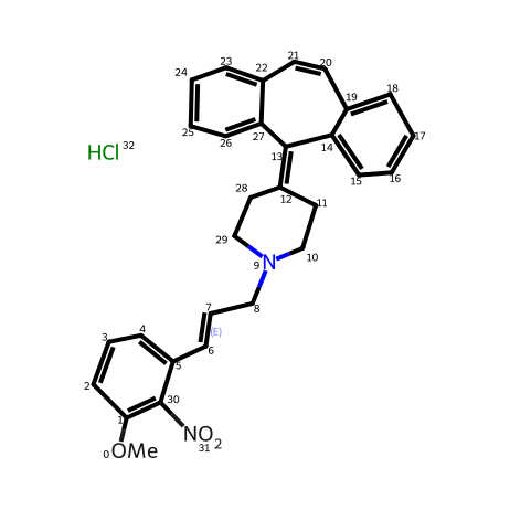 COc1cccc(/C=C/CN2CCC(=C3c4ccccc4C=Cc4ccccc43)CC2)c1[N+](=O)[O-].Cl